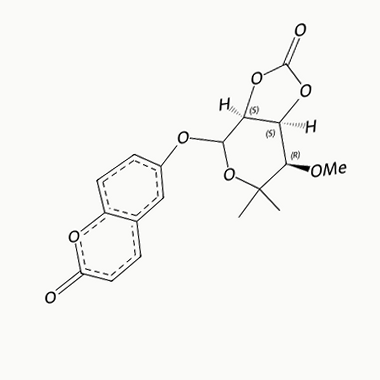 CO[C@@H]1[C@@H]2OC(=O)O[C@@H]2C(Oc2ccc3oc(=O)ccc3c2)OC1(C)C